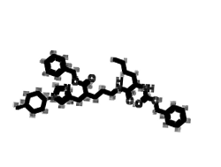 CCCCC(NC(=O)OCc1ccccc1)C(=O)NCCCC(Cc1cn([C@H]2CC[C@H](C)CC2)cn1)C(=O)OCc1ccccc1